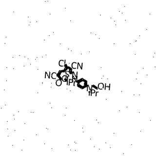 CC(C)OC(=O)C(C#N)=Cc1sc(N=Nc2ccc(N(CCO)C(C)C)cc2)c(C#N)c1Cl